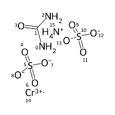 NC(N)=O.O=S(=O)([O-])[O-].O=S(=O)([O-])[O-].[Cr+3].[NH4+]